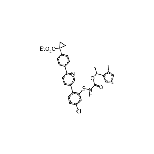 CCOC(=O)C1(c2ccc(-c3ccc(-c4ccc(Cl)cc4SNC(=O)OC(C)c4cscc4C)cn3)cc2)CC1